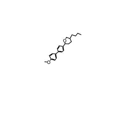 CCCCC1CCC(c2ccc(-c3ccc(OC)cc3)cc2)OC1